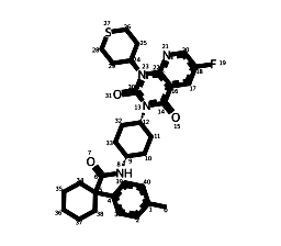 Cc1ccc(C2(C(=O)N[C@H]3CC[C@@H](n4c(=O)c5cc(F)cnc5n(C5CCSCC5)c4=O)CC3)CCCCC2)cc1